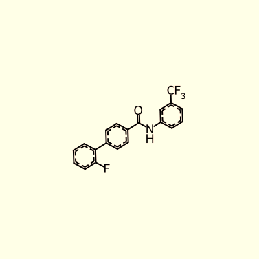 O=C(Nc1cccc(C(F)(F)F)c1)c1ccc(-c2ccccc2F)cc1